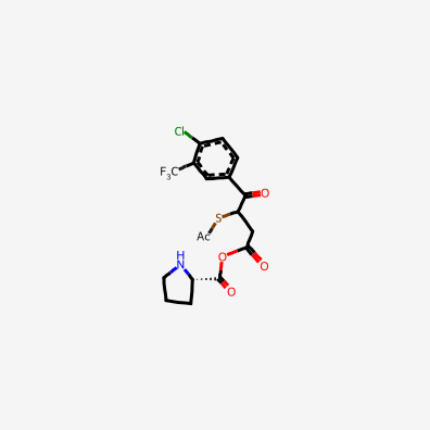 CC(=O)SC(CC(=O)OC(=O)[C@@H]1CCCN1)C(=O)c1ccc(Cl)c(C(F)(F)F)c1